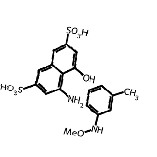 CONc1cccc(C)c1.Nc1cc(S(=O)(=O)O)cc2cc(S(=O)(=O)O)cc(O)c12